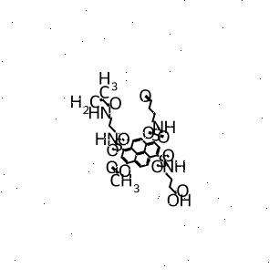 C=C(C)C(=O)NCCCNS(=O)(=O)c1cc(OC(C)=O)c2ccc3c(S(=O)(=O)NCCCC(=O)O)cc(S(=O)(=O)NCCCC=O)c4ccc1c2c43